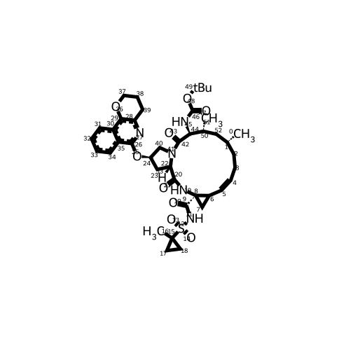 C[C@@H]1CC/C=C\C2C[C@@]2(C(=O)NS(=O)(=O)C2(C)CC2)NC(=O)[C@@H]2C[C@@H](Oc3nc4c(c5ccccc35)OCCC4)CN2C(=O)[C@@H](NC(=O)OC(C)(C)C)[C@H](C)C1